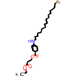 CCOC(=O)C=COC(=O)c1ccc(NCCCCCCCCCCCCCCCCBr)cc1